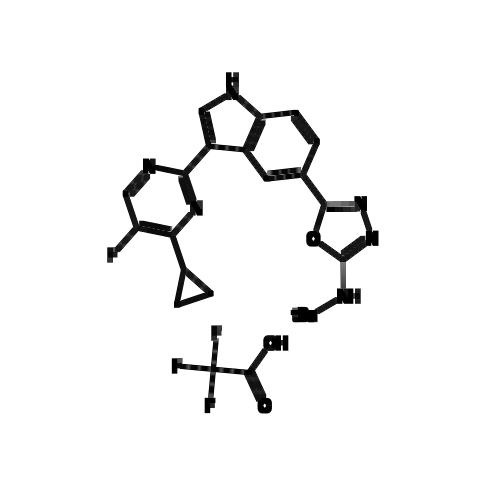 CC(C)(C)Nc1nnc(-c2ccc3[nH]cc(-c4ncc(F)c(C5CC5)n4)c3c2)o1.O=C(O)C(F)(F)F